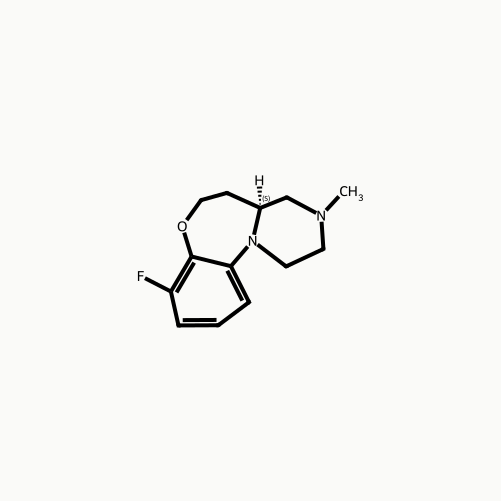 CN1CCN2c3cccc(F)c3OCC[C@H]2C1